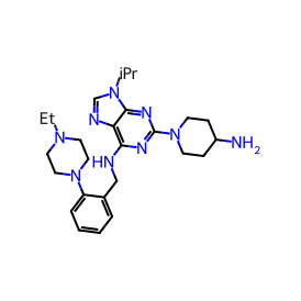 CCN1CCN(c2ccccc2CNc2nc(N3CCC(N)CC3)nc3c2ncn3C(C)C)CC1